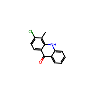 Cc1c(Cl)ccc2c(=O)c3ccccc3[nH]c12